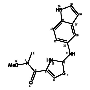 CON(C)C(=O)C1=CSC(Nc2ccc3[nH]ccc3c2)N1